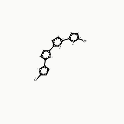 CC(=O)c1ccc(-c2ccc(-c3ccc(-c4ccc(C(C)=O)s4)s3)s2)s1